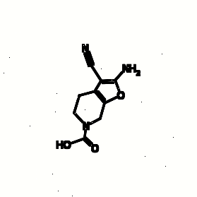 N#Cc1c(N)oc2c1CCN(C(=O)O)C2